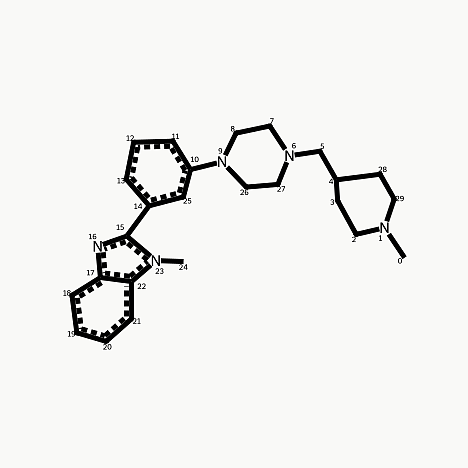 CN1CCC(CN2CCN(c3cccc(-c4nc5ccccc5n4C)c3)CC2)CC1